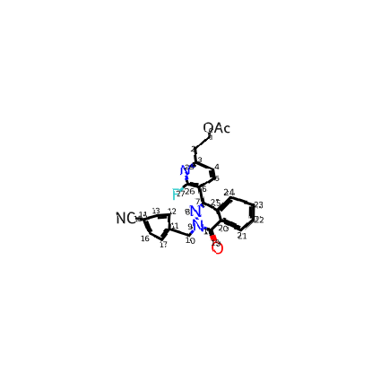 CC(=O)OCCc1ccc(-c2nn(Cc3ccc(C#N)cc3)c(=O)c3ccccc23)c(F)n1